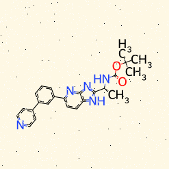 C[C@H](NC(=O)OC(C)(C)C)c1nc2nc(-c3cccc(-c4ccncc4)c3)ccc2[nH]1